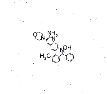 Cc1cccc(/C(=N/O)c2ccccc2)c1-c1ccc2nc(N)c(N3CCOCC3)cc2c1